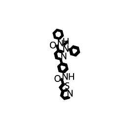 CCN(C(=O)c1ccc(-c2ccc(NC(=O)c3cc4cccnc4s3)cc2)nc1Nc1ccccc1)C1CCCCC1